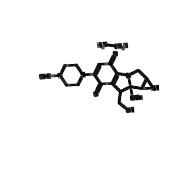 COC12C(CO)C3=C(C(=O)C=C(N4CCN(C=O)CC4)C3=O)N1CC1NC12.NC(=O)O